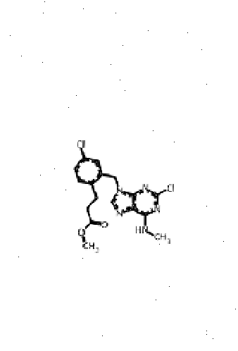 CNc1nc(Cl)nc2c1ncn2Cc1cc(Cl)ccc1CCC(=O)OC